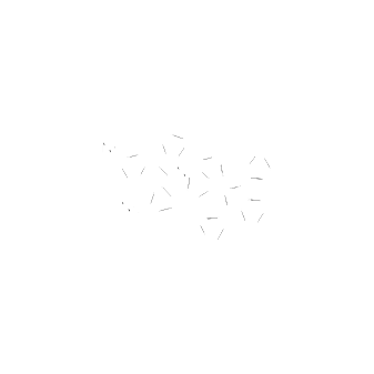 N#Cc1cccc(-c2c(-c3cccc(C#N)c3)n(-c3ccc4c5c(cccc35)-c3c-4c(-c4ccccc4)c4ccccc4c3-c3ccccc3)c3ccccc23)c1